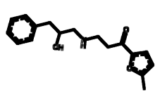 Cc1ccc(C(=O)CCNCC(O)Cc2ccccc2)o1